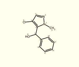 Cn1ncc(Cl)c1C(O)c1ccccc1